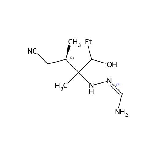 CCC(O)C(C)(N/N=C\N)[C@H](C)CC#N